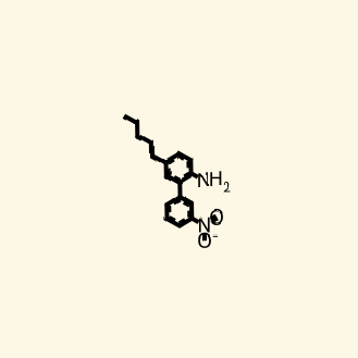 CCCCCc1ccc(N)c(-c2cccc([N+](=O)[O-])c2)c1